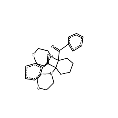 O=C(c1ccccc1)C1(N2CCOCC2)CCCCC1(C(=O)c1ccccc1)N1CCOCC1